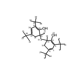 CC(C)(C)C1=CC(C(C)(C)C)=C(O)C(C)(SC2(C)CC(C(C)(C)C)=CC(C(C)(C)C)=C2O)C1